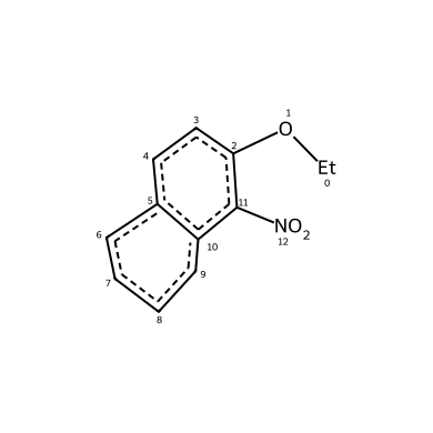 CCOc1ccc2ccccc2c1[N+](=O)[O-]